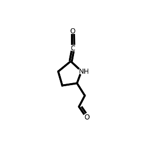 O=C=C1CCC(CC=O)N1